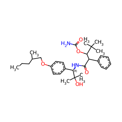 CCCC(C)COc1ccc([C@@H](NC(=O)C(c2ccccc2)C(OC(N)=O)C(C)(C)C)C(C)(C)O)cc1